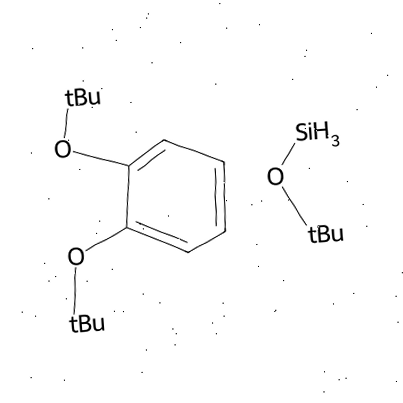 CC(C)(C)O[SiH3].CC(C)(C)Oc1ccccc1OC(C)(C)C